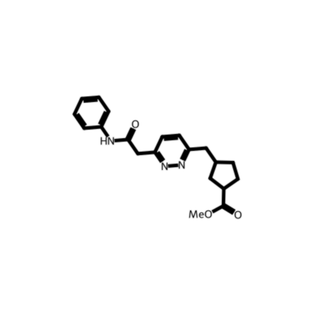 COC(=O)C1CCC(Cc2ccc(CC(=O)Nc3ccccc3)nn2)C1